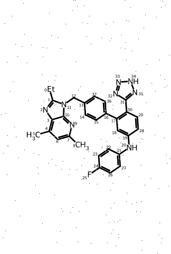 CCc1nc2c(C)cc(C)nc2n1Cc1ccc(-c2cc(Nc3ccc(F)cc3)ccc2-c2nn[nH]n2)cc1